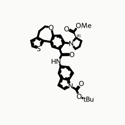 COC(=O)[C@H]1CCCN1c1cc2c(cc1C(=O)Nc1ccc3c(ccn3C(=O)OC(C)(C)C)c1)-c1sccc1CCO2